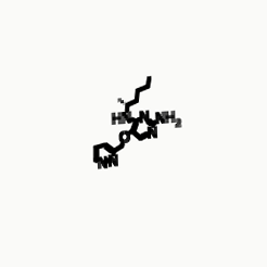 CCCC[C@@H](C)Nc1nc(N)ncc1OCc1cccnn1